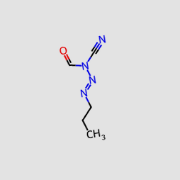 CCC/N=N/N(C#N)C=O